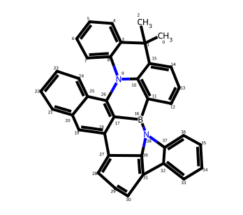 CC1(C)c2ccccc2N2c3c(cccc31)B1c3c(cc4ccccc4c32)-c2cccc3c4ccccc4n1c23